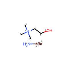 Br.CCCCN.C[N+](C)(C)CCO